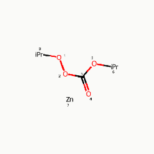 CC(C)OOC(=O)OC(C)C.[Zn]